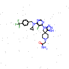 NC(=O)CN1CCC(CNc2ncnc(N(Cc3ccc(C(F)(F)F)cc3)C3CC3)c2F)(c2cnn[nH]2)CC1